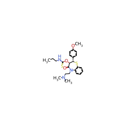 CCCNC(=S)O[C@@H]1C(=O)N(CCN(C)C)c2ccccc2S[C@@H]1c1ccc(OC)cc1